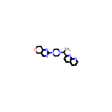 CC(c1ccc2cccnc2n1)N1CCN(c2ncc3c(n2)CCOC3)CC1